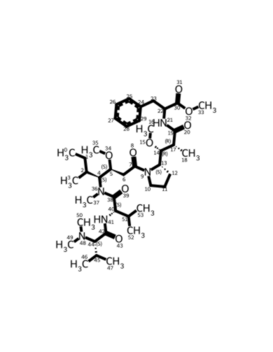 CCC(C)[C@@H]([C@H](CC(=O)N1CCC[C@H]1[C@H](OC)[C@@H](C)C(=O)NC(Cc1ccccc1)C(=O)OC)OC)N(C)C(=O)[C@@H](NC(=O)[C@H](C(C)C)N(C)C)C(C)C